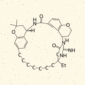 CCC12CCCCCCCc3ccc4c(c3)OC(C)(C)C[C@@H]4NC(=O)c3ccc4c(c3)[C@@H](CCO4)N(C(=N)N1)C(=O)C2